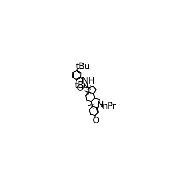 CCCN1CC2C(CC[C@@]3(C)C2CC[C@@H]3C(=O)Nc2cc(C(C)(C)C)ccc2C(C)(C)C)[C@@]2(C)CCC(=O)C=C12